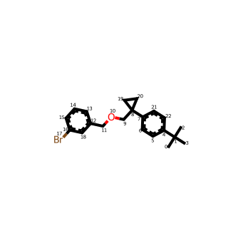 CC(C)(C)c1ccc(C2(COCc3cccc(Br)c3)CC2)cc1